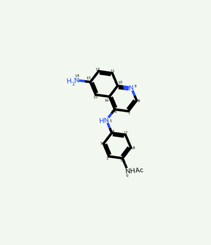 CC(=O)Nc1ccc(Nc2ccnc3ccc(N)cc23)cc1